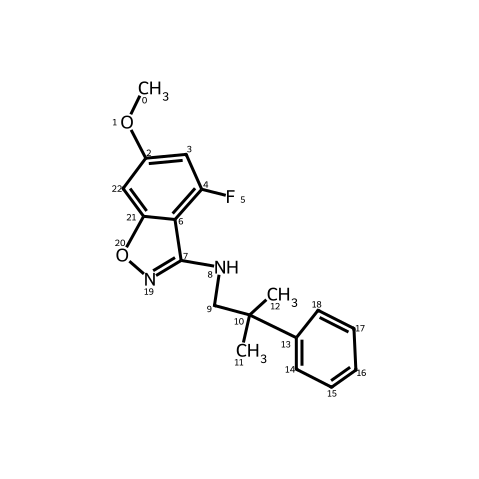 COc1cc(F)c2c(NCC(C)(C)c3ccccc3)noc2c1